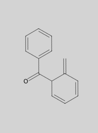 C=C1C=CC=CC1C(=O)c1ccccc1